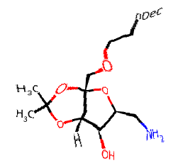 CCCCCCCCCCCCOC[C@@]12O[C@@H](CN)[C@@H](O)[C@@H]1OC(C)(C)O2